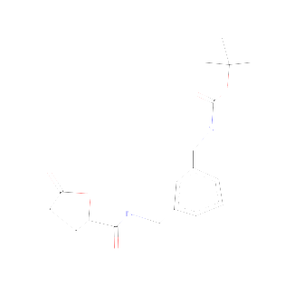 CC(C)(C)OC(=O)NCc1cccc(CNC(=O)C2CCC(=O)O2)c1